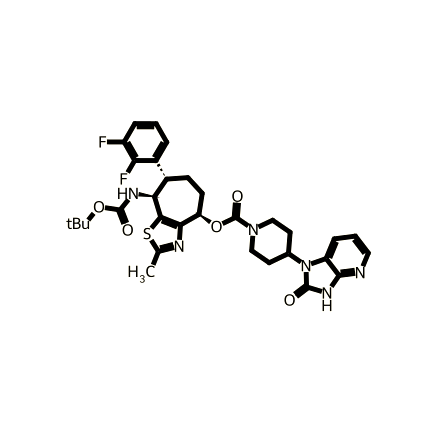 Cc1nc2c(s1)[C@@H](NC(=O)OC(C)(C)C)[C@H](c1cccc(F)c1F)CC[C@H]2OC(=O)N1CCC(n2c(=O)[nH]c3ncccc32)CC1